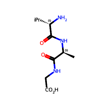 CC(C)[C@H](N)C(=O)N[C@@H](C)C(=O)NCC(=O)O